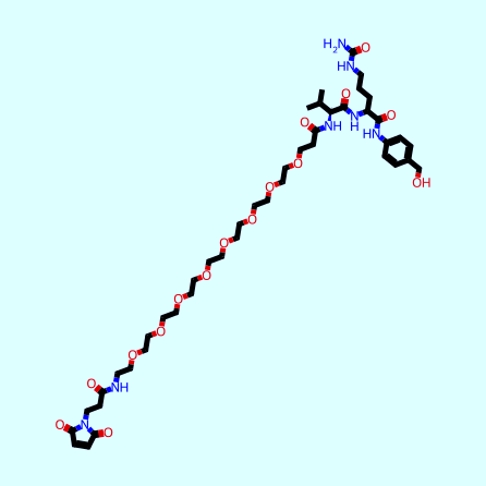 CC(C)[C@H](NC(=O)CCOCCOCCOCCOCCOCCOCCOCCOCCNC(=O)CCN1C(=O)C=CC1=O)C(=O)NC(CCCNC(N)=O)C(=O)Nc1ccc(CO)cc1